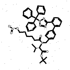 CC(C)[C@@H](C(=O)OC(C)(C)C)N(Cc1ccc(-c2ccccc2-c2nnn(C(c3ccccc3)(c3ccccc3)c3ccccc3)n2)cc1)C(=O)CCCCCO[N+](=O)[O-]